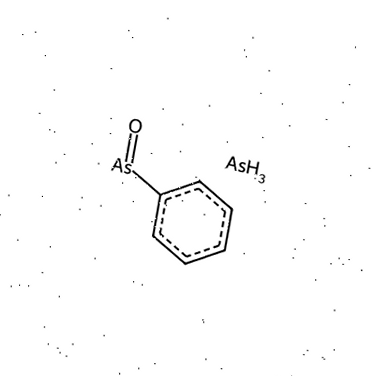 O=[As]c1ccccc1.[AsH3]